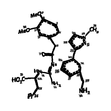 COc1ccc(CC(=O)N=C(N)NC(CC(C)C)C(=O)O)cc1OC.Cn1ccc(-c2cccc(CN)c2)n1